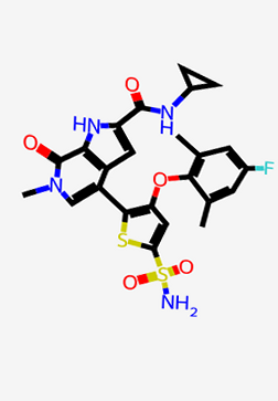 Cc1cc(F)cc(C)c1Oc1cc(S(N)(=O)=O)sc1-c1cn(C)c(=O)c2[nH]c(C(=O)NC3CC3)cc12